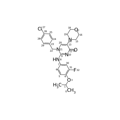 CC(C)Oc1ccc(Nc2nc(=O)c(N3CCOCC3)cn2Cc2ccc(Cl)cc2)cc1F